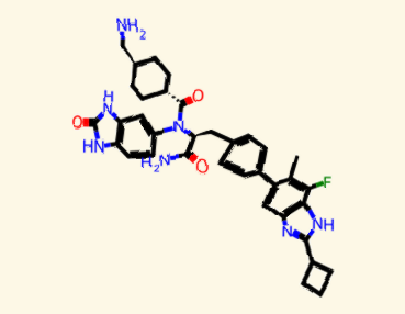 Cc1c(-c2ccc(C[C@@H](C(N)=O)N(c3ccc4[nH]c(=O)[nH]c4c3)C(=O)[C@H]3CC[C@H](CN)CC3)cc2)cc2nc(C3CCC3)[nH]c2c1F